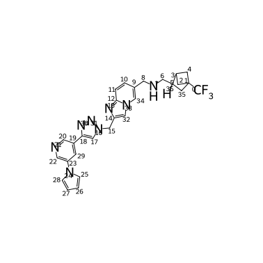 FC(F)(F)C12CC(C1)[C@@H](CNCc1ccc3nc(Cn4cc(-c5cncc(-n6cccc6)c5)nn4)cn3c1)C2